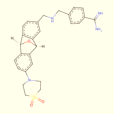 N=C(N)c1ccc(CNCc2ccc3c(c2)[C@@H]2O[C@H]3c3ccc(N4CCS(=O)(=O)CC4)cc32)cc1